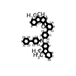 CC1(C)c2ccccc2-c2c1ccc1c2oc2c(-c3ccc(N(c4ccc(-c5ccccc5)cc4)c4ccc5c(c4)C(C)(C)C4C=CC=CC54)cc3)cccc21